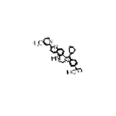 Cc1ccnc(-c2ccc3c4c(ccc3n2)-c2c(C3CCCCC3)c3ccc(C(=O)O)cc3n2CCN4)c1